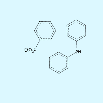 CCOC(=O)c1ccccc1.c1ccc(Pc2ccccc2)cc1